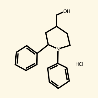 Cl.OCC1CCN(c2ccccc2)C(c2ccccc2)C1